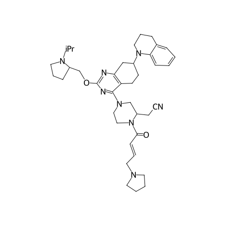 CC(C)N1CCCC1COc1nc2c(c(N3CCN(C(=O)C=CCN4CCCC4)C(CC#N)C3)n1)CCC(N1CCCc3ccccc31)C2